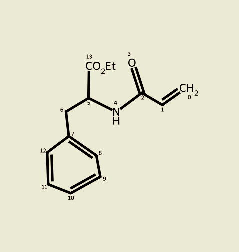 C=CC(=O)NC(Cc1ccccc1)C(=O)OCC